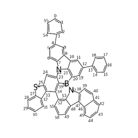 c1ccc(-c2ccc3c(c2)c2cc(-c4ccccc4)cc4c2n3-c2cc3sc5ccccc5c3c3c2B4n2c4ccc5ccccc5c4c4cccc-3c42)cc1